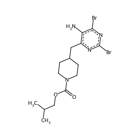 CC(C)COC(=O)N1CCC(Cc2nc(Br)nc(Br)c2N)CC1